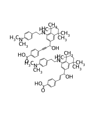 CN(C)c1ccc(CCNc2cc(C(O)C#Cc3ccc(C(=O)O)cc3)cc3c2C(C)(C)CCC3(C)C)cc1.CN(C)c1ccc(CCNc2cc(C(O)C=Cc3ccc(C(=O)O)cc3)cc3c2C(C)(C)CCC3(C)C)cc1